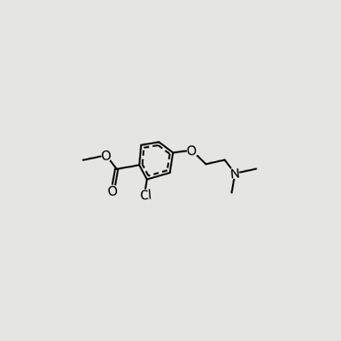 COC(=O)c1ccc(OCCN(C)C)cc1Cl